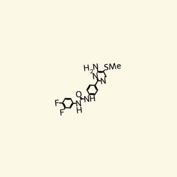 CSc1cnc(-c2ccc(NC(=O)Nc3ccc(F)c(F)c3)cc2)nc1N